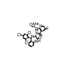 COCCOc1ncc(F)cc1C(=O)NC1N=C(c2c(Cl)cc(Cl)cc2Cl)c2ccccc2NC1=O